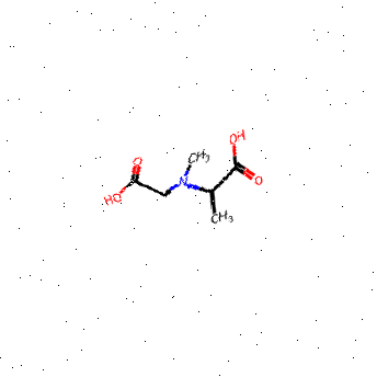 CC(C(=O)O)N(C)CC(=O)O